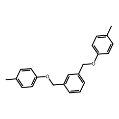 Cc1ccc(OCc2cccc(COc3ccc(C)cc3)c2)cc1